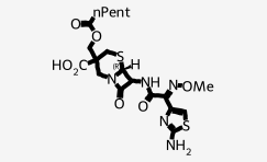 CCCCCC(=O)OCC1(C(=O)O)CS[C@@H]2C(NC(=O)C(=NOC)c3csc(N)n3)C(=O)N2C1